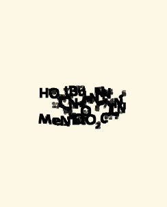 CCOC(=O)c1cnn(C)c1-c1cn([C@H](C(=O)N2C[C@H](O)C[C@H]2C(=O)NC)C(C)(C)C)nn1